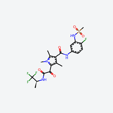 Cc1c(C(=O)Nc2ccc(F)c(NS(C)(=O)=O)c2)c(C)n(C)c1C(=O)C(=O)N[C@@H](C)C(F)(F)F